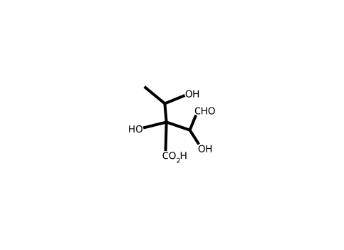 CC(O)C(O)(C(=O)O)C(O)C=O